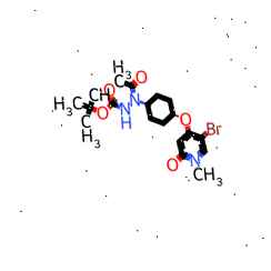 CC(=O)N(NC(=O)OC(C)(C)C)[C@H]1CC[C@H](Oc2cc(=O)n(C)cc2Br)CC1